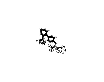 CCC(=O)N(Cc1ccc(-c2ccccc2-c2nnn[nH]2)cc1)[C@H](C(=O)O)C(C)C